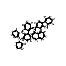 c1ccc(N(c2ccccc2)c2cccc3c2sc2cccc(N(c4ccc5c(c4)oc4ccccc45)c4cccc5ccccc45)c23)cc1